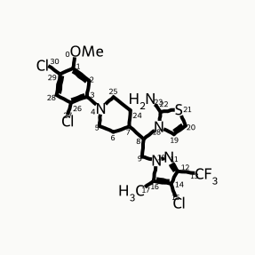 COc1cc(N2CCC(C(Cn3nc(C(F)(F)F)c(Cl)c3C)N3C=CSC3N)CC2)c(Cl)cc1Cl